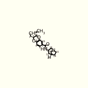 CC[C@@H]1Oc2ccc(C(=O)N[C@@H]3C[C@H]4CCN(C4)C3)cc2O[C@H]1CC